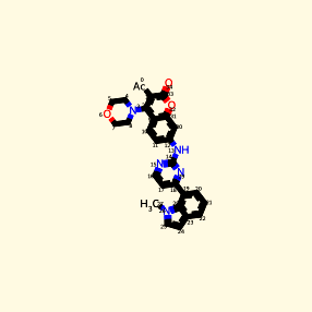 CC(=O)c1c(N2CCOCC2)c2ccc(Nc3nccc(-c4cccc5ccn(C)c45)n3)cc2oc1=O